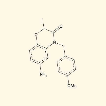 COc1ccc(CN2C(=O)C(C)Oc3ccc(N)cc32)cc1